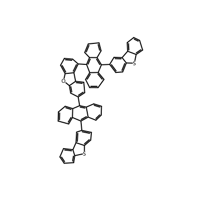 c1cc(-c2c3ccccc3c(-c3ccc4sc5ccccc5c4c3)c3ccccc23)c2c(c1)oc1cc(-c3c4ccccc4c(-c4ccc5sc6ccccc6c5c4)c4ccccc34)ccc12